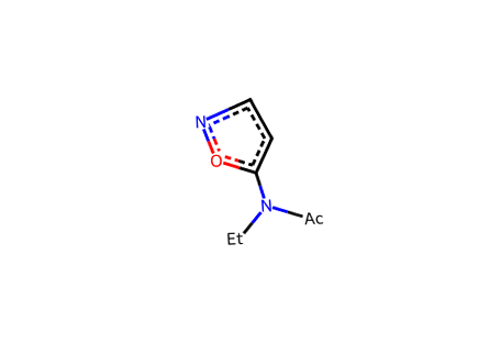 CCN(C(C)=O)c1ccno1